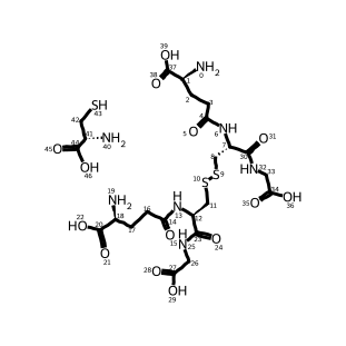 N[C@@H](CCC(=O)N[C@@H](CSSC[C@H](NC(=O)CC[C@H](N)C(=O)O)C(=O)NCC(=O)O)C(=O)NCC(=O)O)C(=O)O.N[C@@H](CS)C(=O)O